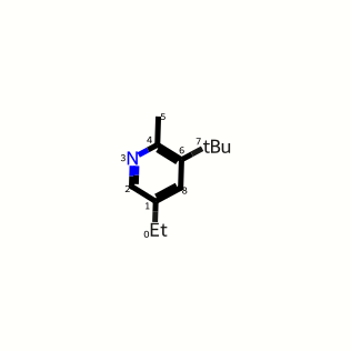 CCc1cnc(C)c(C(C)(C)C)c1